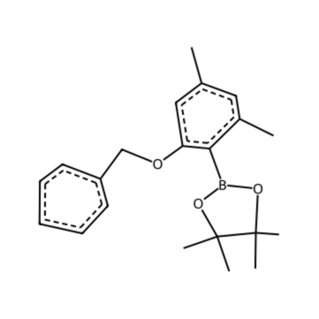 Cc1cc(C)c(B2OC(C)(C)C(C)(C)O2)c(OCc2ccccc2)c1